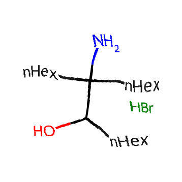 Br.CCCCCCC(O)C(N)(CCCCCC)CCCCCC